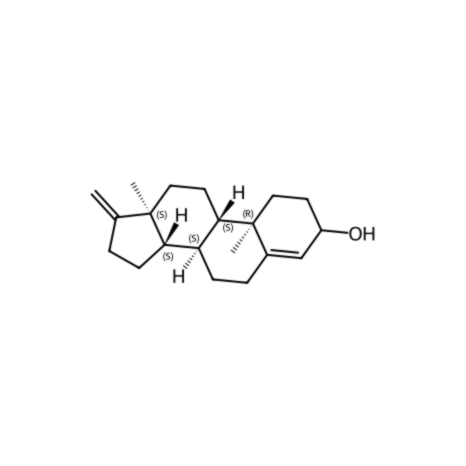 C=C1CC[C@H]2[C@@H]3CCC4=CC(O)CC[C@]4(C)[C@H]3CC[C@]12C